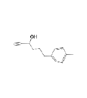 C#CC(O)CCCc1ccc(C)cc1